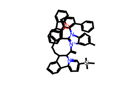 C=C1C2C(CCc3ccc4c(oc5ccccc54)c3-c3n(-c4c(-c5ccccc5)cccc4-c4ccccc4)c4ccc(C)cc4[n+]31)c1ccccc1-c1ccc([Si](C)(C)C)c[n+]12